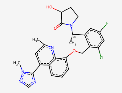 Cc1cc(-c2ncnn2C)c2cccc(OCc3c(Cl)cc(F)cc3[C@H](C)N3CCC(O)C3=O)c2n1